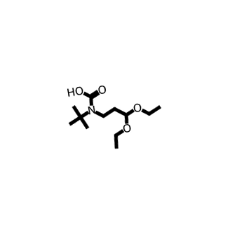 CCOC(CCN(C(=O)O)C(C)(C)C)OCC